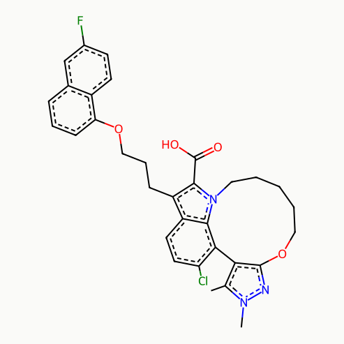 Cc1c2c(nn1C)OCCCCCn1c(C(=O)O)c(CCCOc3cccc4cc(F)ccc34)c3ccc(Cl)c-2c31